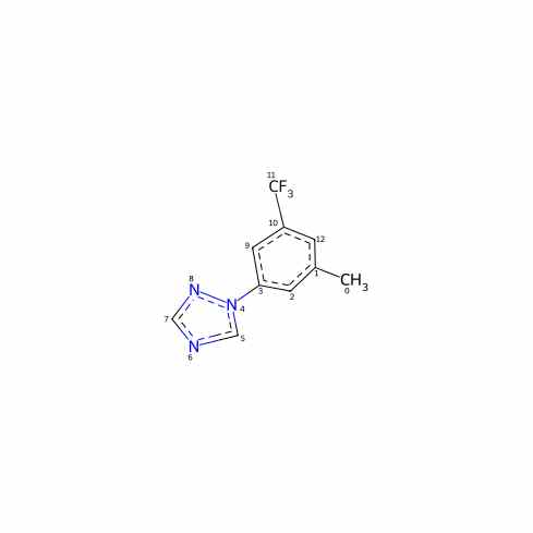 Cc1cc(-n2cncn2)cc(C(F)(F)F)c1